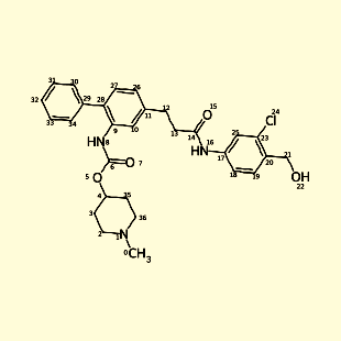 CN1CCC(OC(=O)Nc2cc(CCC(=O)Nc3ccc(CO)c(Cl)c3)ccc2-c2ccccc2)CC1